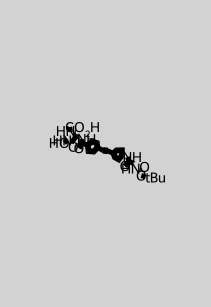 CC(C)(C)OC(=O)NCC(=O)Nc1ccc(C#Cc2ccc(C(=O)N[C@@H](CNC(=O)O)C(=O)NO)cc2)cc1